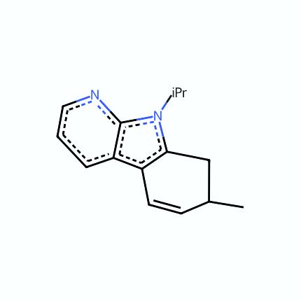 CC1C=Cc2c(n(C(C)C)c3ncccc23)C1